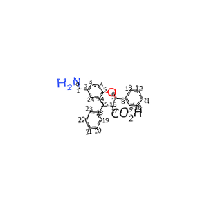 NCc1ccc(OCc2ccccc2)c([C@H](CC(=O)O)c2ccccc2)c1